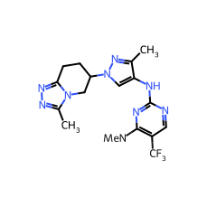 CNc1nc(Nc2cn(C3CCc4nnc(C)n4C3)nc2C)ncc1C(F)(F)F